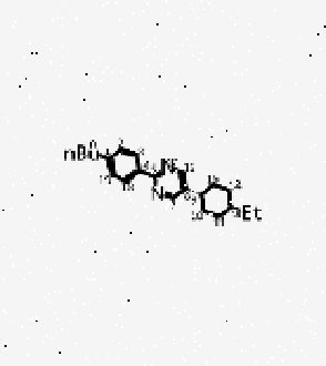 CCCCc1ccc(-c2ncc([C@H]3CC[C@H](CC)CC3)cn2)cc1